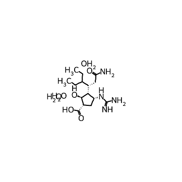 CCC(CC)[C@H](CC(N)=O)[C@H]1[C@H](O)[C@@H](C(=O)O)C[C@H]1NC(=N)N.O.O.O